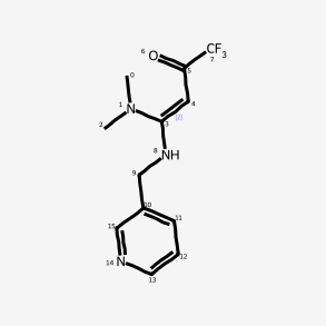 CN(C)/C(=C\C(=O)C(F)(F)F)NCc1cccnc1